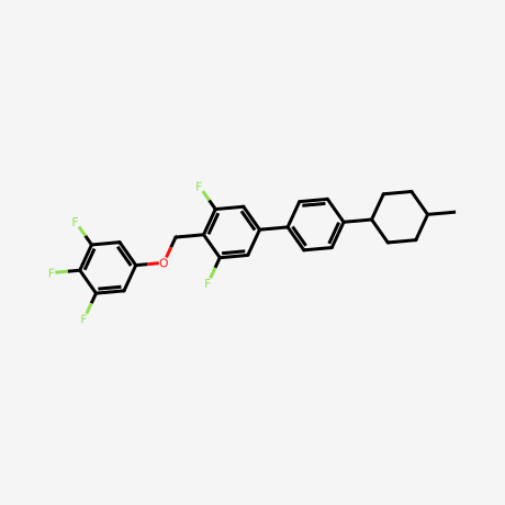 CC1CCC(c2ccc(-c3cc(F)c(COc4cc(F)c(F)c(F)c4)c(F)c3)cc2)CC1